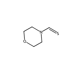 S=CN1CCOCC1